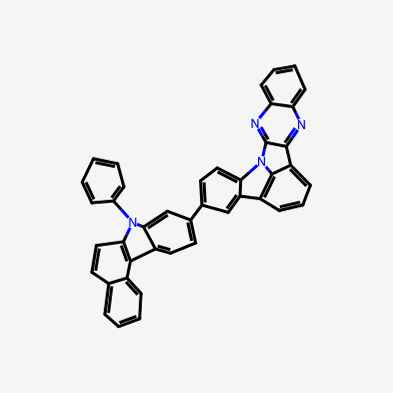 c1ccc(-n2c3cc(-c4ccc5c(c4)c4cccc6c7nc8ccccc8nc7n5c46)ccc3c3c4ccccc4ccc32)cc1